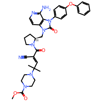 COC(=O)N1CCN(C(C)(C)C=C(C#N)C(=O)N2CCC[C@H]2Cn2c(=O)n(-c3ccc(Oc4ccccc4)cc3)c3c(N)nccc32)CC1